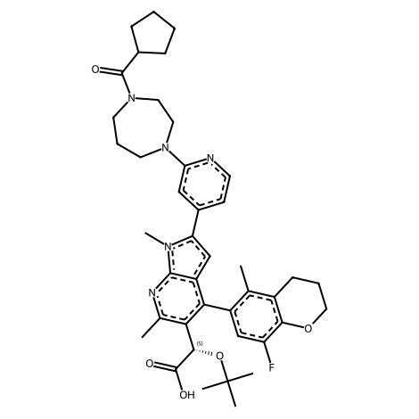 Cc1nc2c(cc(-c3ccnc(N4CCCN(C(=O)C5CCCC5)CC4)c3)n2C)c(-c2cc(F)c3c(c2C)CCCO3)c1[C@H](OC(C)(C)C)C(=O)O